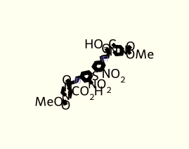 COC(=O)N1CCN(C(=O)/C=C/c2ccc(Sc3ccc(/C=C/C(=O)N4CCN(C(=O)OC)CC4C(=O)O)cc3[N+](=O)[O-])c([N+](=O)[O-])c2)C(C(=O)O)C1